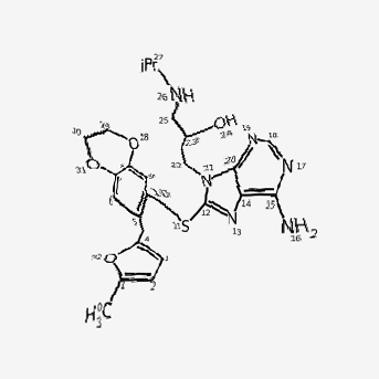 Cc1ccc(-c2cc3c(cc2Sc2nc4c(N)ncnc4n2CC(O)CNC(C)C)OCCO3)o1